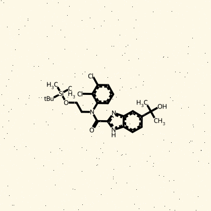 CC(C)(O)c1ccc2[nH]c(C(=O)N(CCO[Si](C)(C)C(C)(C)C)c3cccc(Cl)c3Cl)nc2c1